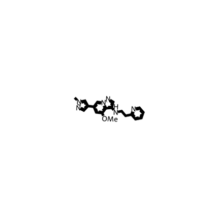 COc1cc(-c2cnn(C)c2)cn2ncc(NCCc3ccccn3)c12